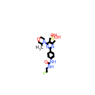 CC1COCCN1c1nc(-c2ccc(NC(=O)NCCF)cc2)nc2c1CS(O)(O)C2